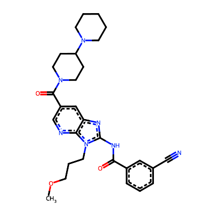 COCCCn1c(NC(=O)c2cccc(C#N)c2)nc2cc(C(=O)N3CCC(N4CCCCC4)CC3)cnc21